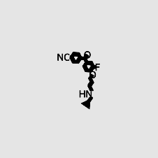 N#Cc1ccc(C(=O)c2ccc(OC/C=C/CNCC3CC3)c(F)c2)cc1